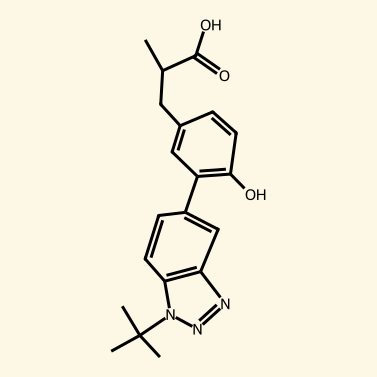 CC(Cc1ccc(O)c(-c2ccc3c(c2)nnn3C(C)(C)C)c1)C(=O)O